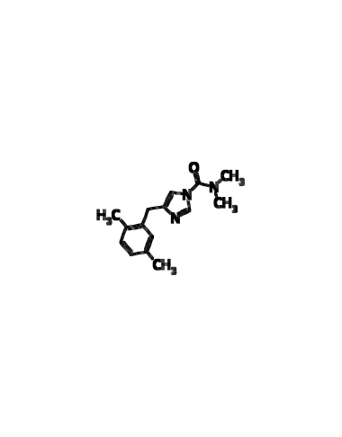 Cc1ccc(C)c(Cc2cn(C(=O)N(C)C)cn2)c1